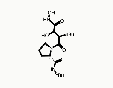 CCCCC(C(=O)N1CCC[C@H]1C(=O)NC(C)(C)C)C(O)C(=O)NO